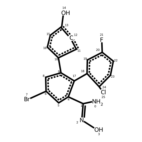 N/C(=N\O)c1cc(Br)cc(-c2ccc(O)cc2)c1-c1cc(F)ccc1Cl